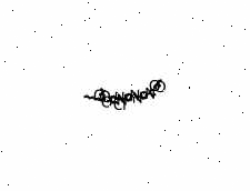 CCCCCCCC(OC(=O)CC)Oc1ccc(N=Nc2ccc(N=Nc3ccc(N(CC)CCOC(=O)CC)cc3)cc2)c(Cl)c1